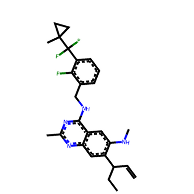 C=CC(CC)c1cc2nc(C)nc(NCc3cccc(C(F)(F)C4(C)CC4)c3F)c2cc1NC